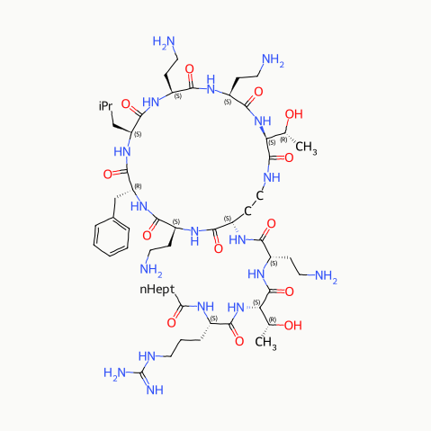 CCCCCCCC(=O)N[C@@H](CCCNC(=N)N)C(=O)N[C@H](C(=O)N[C@@H](CCN)C(=O)N[C@H]1CCNC(=O)[C@H]([C@@H](C)O)NC(=O)[C@H](CCN)NC(=O)[C@H](CCN)NC(=O)[C@H](CC(C)C)NC(=O)[C@@H](Cc2ccccc2)NC(=O)[C@H](CCN)NC1=O)[C@@H](C)O